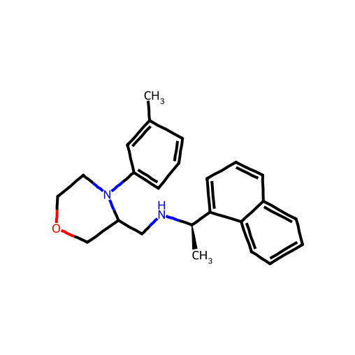 Cc1cccc(N2CCOCC2CN[C@H](C)c2cccc3ccccc23)c1